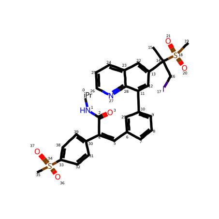 CC(C)NC(=O)C(=Cc1cccc(-c2cc(C(C)(CI)S(C)(=O)=O)cc3cccnc23)c1)c1ccc(S(C)(=O)=O)cc1